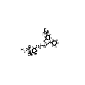 CS(=O)(=O)c1cc(OCCCN(CCc2ccccc2)Cc2cccc(C(F)(F)F)c2)cc(F)c1C=O